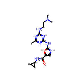 Cc1nc(NCCN(C)C)nc(Nc2ncc(C(=O)NC3CC3)o2)n1